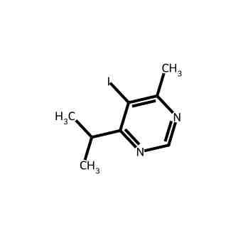 Cc1ncnc(C(C)C)c1I